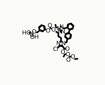 CCCCc1nc(Cl)c(C(=O)OC(C)OC(=O)OCC)n1Cc1ccc(-c2ccccc2-c2nnn(C(C)OC(=O)Oc3cccc(CON(O)O)c3)n2)cc1